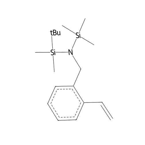 C=Cc1ccccc1CN([Si](C)(C)C)[Si](C)(C)C(C)(C)C